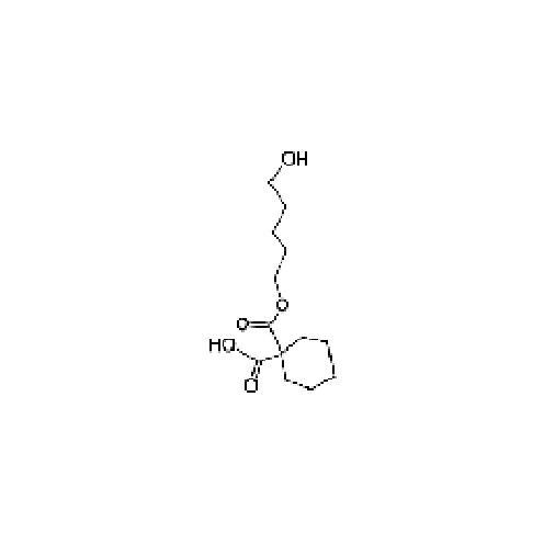 O=C(O)C1(C(=O)OCCCCCO)CCCCC1